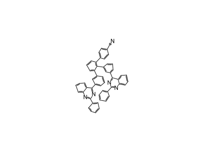 N#Cc1ccc(-c2cccc(-c3cccc(-c4nc(-c5ccccc5)nc5ccccc45)c3)c2-c2cccc(-c3nc(-c4ccccc4)nc4ccccc34)c2)cc1